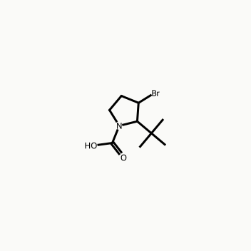 CC(C)(C)C1C(Br)CCN1C(=O)O